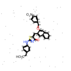 O=C(O)Cc1ccc(NC2=NC(=O)C(=Cc3cc4ccccc4cc3OCc3ccc([N+](=O)[O-])cc3)S2)cc1